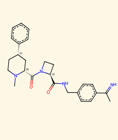 CC(=N)c1ccc(CNC(=O)[C@@H]2CCN2C(=O)[C@H]2C[C@@H](c3ccccc3)CCN2C)cc1